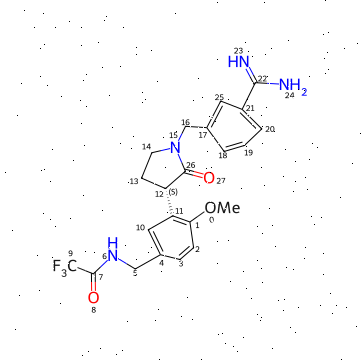 COc1ccc(CNC(=O)C(F)(F)F)cc1[C@@H]1CCN(Cc2cccc(C(=N)N)c2)C1=O